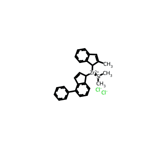 CC1=Cc2ccccc2[CH]1[Zr+2]([CH]1C=Cc2c(-c3ccccc3)cccc21)=[Si](C)C.[Cl-].[Cl-]